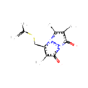 C=C(C)SCc1c(C)c(=O)n2c(=O)c(C)c(C)n12